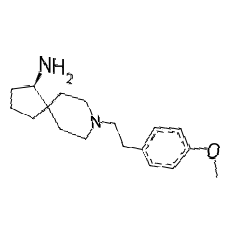 COc1ccc(CCN2CCC3(CCC[C@H]3N)CC2)cc1